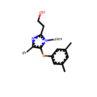 CCCCCCn1c(CCO)nc(C(C)C)c1Sc1cc(C)cc(C)c1